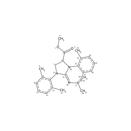 COC(=O)C1CN(c2c(C)cccc2C)C(=NC(C)=O)N1c1c(C)cccc1C